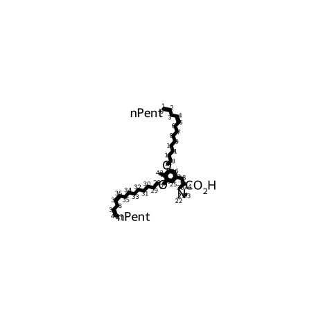 CCCCC/C=C\C/C=C\CCCCCCCCOc1cc(CC(CN(C)C)C(=O)O)cc(OCCCCCCCC/C=C\C/C=C\CCCCC)c1C